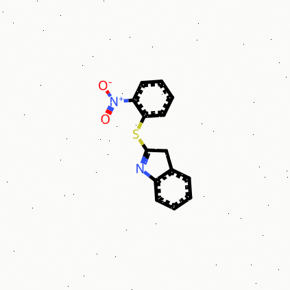 O=[N+]([O-])c1ccccc1SC1=Nc2ccccc2C1